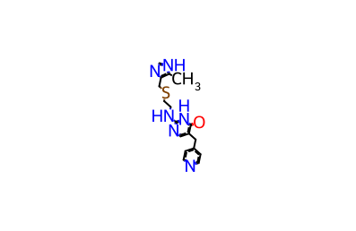 Cc1[nH]cnc1CSCCNc1ncc(Cc2ccncc2)c(=O)[nH]1